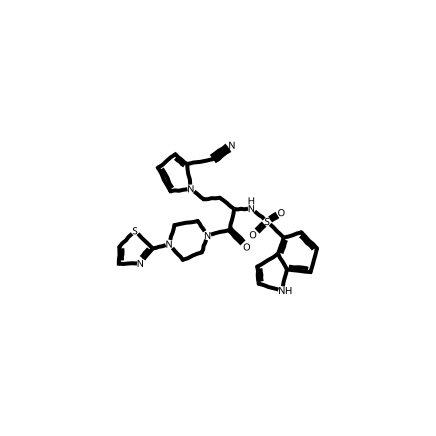 N#Cc1cccn1CCC(NS(=O)(=O)c1cccc2[nH]ccc12)C(=O)N1CCN(c2nccs2)CC1